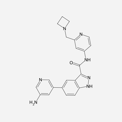 Nc1cncc(-c2ccc3[nH]nc(C(=O)Nc4ccnc(CN5CCC5)c4)c3c2)c1